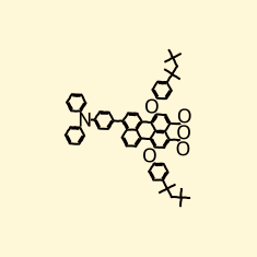 CC(C)(C)CC(C)(C)c1ccc(Oc2cc3c4c(cc(Oc5ccc(C(C)(C)CC(C)(C)C)cc5)c5c6ccc(-c7ccc(N(c8ccccc8)c8ccccc8)cc7)c7cccc(c2c45)c76)C(=O)OC3=O)cc1